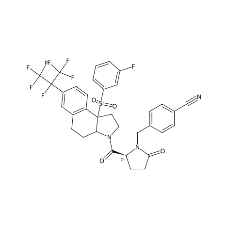 N#Cc1ccc(CN2C(=O)CC[C@H]2C(=O)N2CCC3(S(=O)(=O)c4cccc(F)c4)c4ccc(C(F)(C(F)(F)F)C(F)(F)F)cc4CCC23)cc1